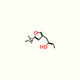 CC=C(O)Cc1coc([Si](C)(C)C)c1